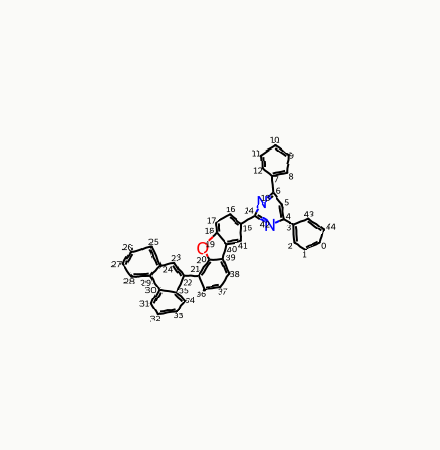 c1ccc(-c2cc(-c3ccccc3)nc(-c3ccc4oc5c(-c6cc7ccccc7c7ccccc67)cccc5c4c3)n2)cc1